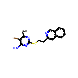 CSc1nc(SCCc2cc3ccccc3cn2)nc(N)c1Br